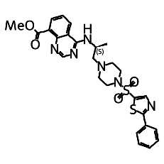 COC(=O)c1cccc2c(N[C@@H](C)CN3CCN(S(=O)(=O)c4cnc(-c5ccccc5)s4)CC3)ncnc12